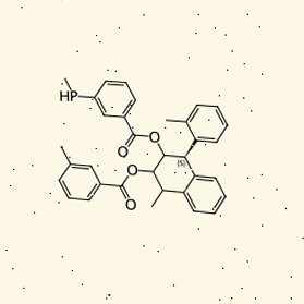 CPc1cccc(C(=O)OC2C(OC(=O)c3cccc(C)c3)C(C)c3ccccc3[C@@H]2c2ccccc2C)c1